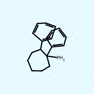 PC1(c2ccccc2)CCCCCC1c1ccccc1